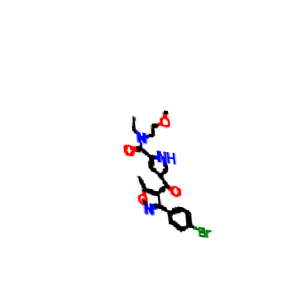 CCN(CCOC)C(=O)C1=CC(C(=O)c2c(-c3ccc(Br)cc3)noc2C)CN1